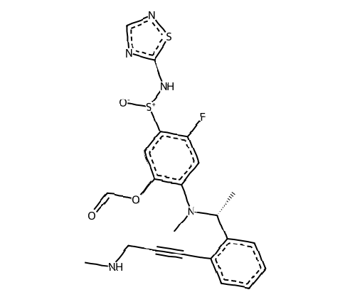 CNCC#Cc1ccccc1[C@@H](C)N(C)c1cc(F)c([S+]([O-])Nc2ncns2)cc1OC=O